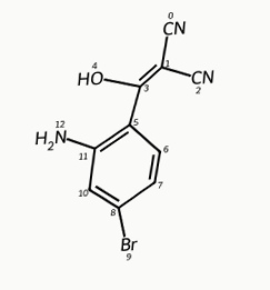 N#CC(C#N)=C(O)c1ccc(Br)cc1N